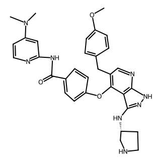 COc1ccc(Cc2cnc3[nH]nc(N[C@@H]4CCNC4)c3c2Oc2ccc(C(=O)Nc3cc(N(C)C)ccn3)cc2)cc1